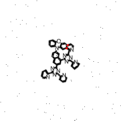 c1ccc(-c2nc(-c3cc(-c4nc(-c5ccccn5)nc(-c5ccccn5)n4)c4cc(N5c6ccccc6Oc6ccccc65)ccc4c3)nc(-c3ccccn3)n2)nc1